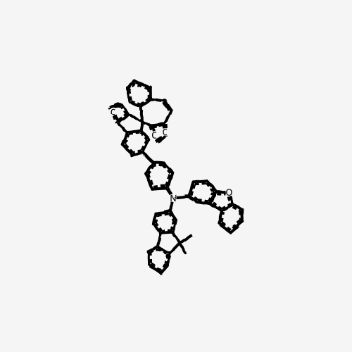 CC1(C)c2ccccc2-c2ccc(N(c3ccc(-c4ccc5c(c4)C4(c6ccccc6C=Cc6ccccc64)c4ccccc4-5)cc3)c3ccc4oc5ccccc5c4c3)cc21